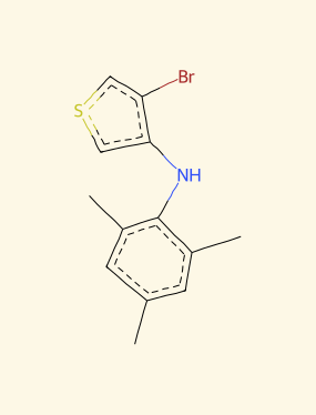 Cc1cc(C)c(Nc2cscc2Br)c(C)c1